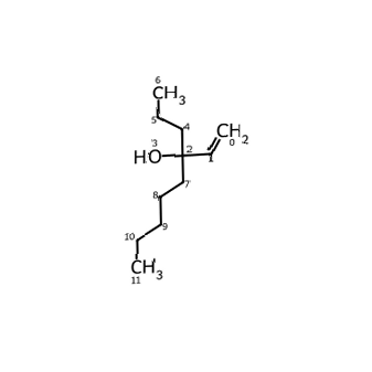 C=CC(O)(CCC)CCCCC